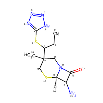 N#CCC(Sc1nnn[nH]1)C1(C(=O)O)CS[C@@H]2C(N)C(=O)N2C1